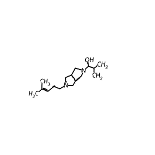 CC(C)=CCCN1CC2CN(C(O)C(C)C)CC2C1